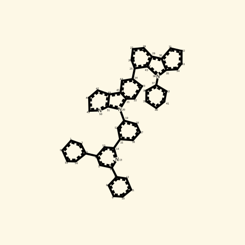 c1ccc(-c2cc(-c3ccccc3)nc(-c3cccc(-n4c5ccc(-c6cccc7c8ccccc8n(-c8ccccc8)c67)cc5c5cccnc54)c3)c2)cc1